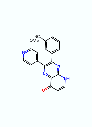 COc1cc(-c2nc3c(=O)cc[nH]c3nc2-c2cccc(C#N)c2)ccn1